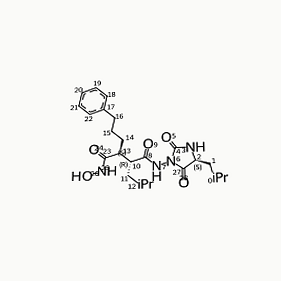 CC(C)C[C@@H]1NC(=O)N(NC(=O)[C@H](CC(C)C)[C@H](CCCc2ccccc2)C(=O)NO)C1=O